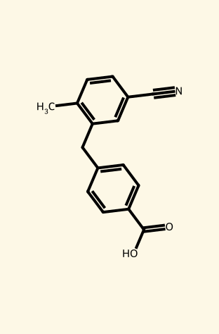 Cc1ccc(C#N)cc1Cc1ccc(C(=O)O)cc1